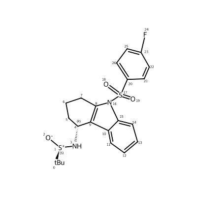 CC(C)(C)[S@@+]([O-])N[C@@H]1CCCc2c1c1ccccc1n2S(=O)(=O)c1ccc(F)cc1